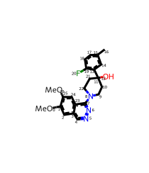 COc1cc2cnnc(N3CCC(O)(c4cc(C)ccc4F)CC3)c2cc1OC